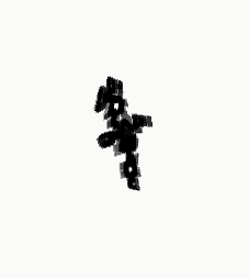 O=C(O)c1cccc(CN2CC(CO)n3nc(-c4ccc(Cl)cc4)cc3C2=O)c1